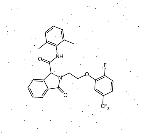 Cc1cccc(C)c1NC(=O)C1c2ccccc2C(=O)N1CCOc1cc(C(F)(F)F)ccc1F